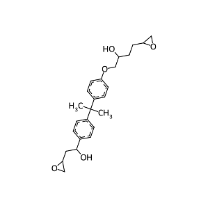 CC(C)(c1ccc(OCC(O)CCC2CO2)cc1)c1ccc(C(O)CC2CO2)cc1